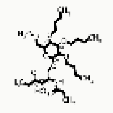 CCCCOC1[C@@H](OC[C@H](NC(=O)CC)[C@H](O)[C@H](O)CC)OC(COC)[C@H](OCCCC)[C@@H]1OCCCC